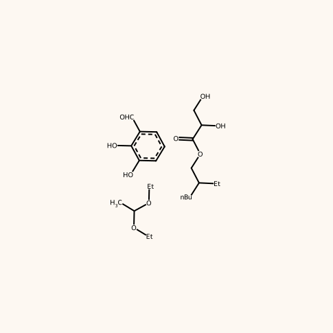 CCCCC(CC)COC(=O)C(O)CO.CCOC(C)OCC.O=Cc1cccc(O)c1O